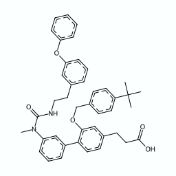 CN(C(=O)NCCc1cccc(Oc2ccccc2)c1)c1cccc(-c2ccc(CCC(=O)O)cc2OCc2ccc(C(C)(C)C)cc2)c1